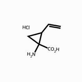 C=CC1CC1(N)C(=O)O.Cl